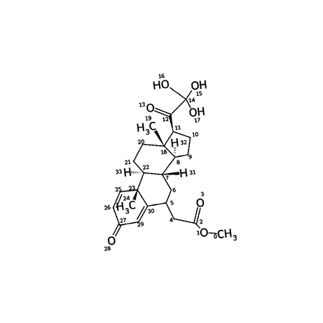 COC(=O)CC1C[C@H]2[C@@H]3CC[C@H](C(=O)C(O)(O)O)[C@@]3(C)CC[C@@H]2[C@@]2(C)C=CC(=O)C=C12